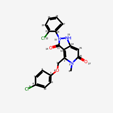 Cn1c(COc2ccc(Cl)cc2)c2c(=O)n(-c3ccccc3Cl)[nH]c2cc1=O